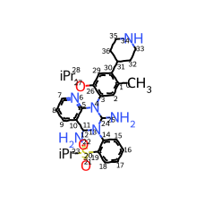 Cc1cc(N2c3ncccc3C(N)N(c3ccccc3S(=O)(=O)C(C)C)C2N)c(OC(C)C)cc1C1CCNCC1